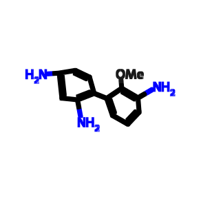 COc1c(N)cccc1-c1ccc(N)cc1N